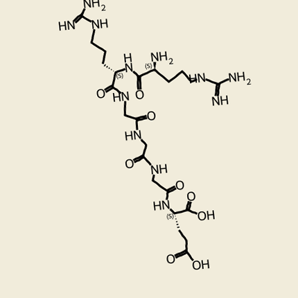 N=C(N)NCCC[C@H](NC(=O)[C@@H](N)CCCNC(=N)N)C(=O)NCC(=O)NCC(=O)NCC(=O)N[C@@H](CCC(=O)O)C(=O)O